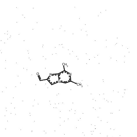 Cc1cn2cc(C=O)nc2c(C)n1